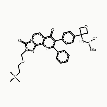 CC(C)(C)[S+]([O-])NC1(c2ccc(-c3c(-c4ccccc4)oc4c(ccn5c(=O)n(COCC[Si](C)(C)C)nc45)c3=O)cc2)COC1